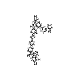 NC(=O)c1ncc(N2CCC[C@@H](N3CCCC3=O)C2)nc1Nc1ccc(N2CC(C3CCN(c4ccc5c(c4)C(=O)N(C4CCC(=O)NC4=O)C5=O)CC3)C2)nc1